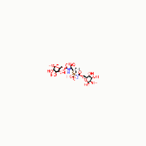 CCS(NC(=O)OCC1OC(O)C(O)C(O)C1O)(SCC(NC(=O)OCC1OC(O)C(O)C(O)C1O)C(=O)O)C(=O)O